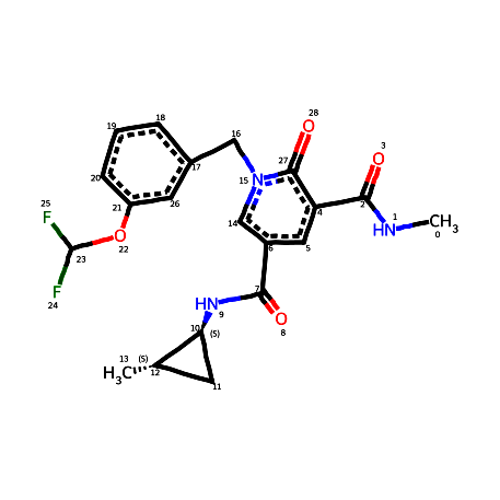 CNC(=O)c1cc(C(=O)N[C@H]2C[C@@H]2C)cn(Cc2cccc(OC(F)F)c2)c1=O